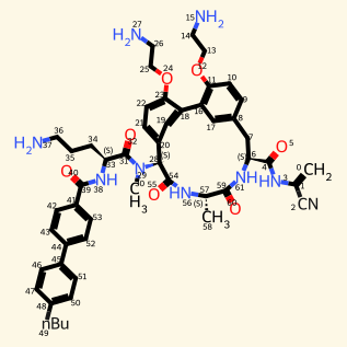 C=C(C#N)NC(=O)[C@@H]1Cc2ccc(OCCN)c(c2)-c2cc(ccc2OCCN)[C@H](N(C)C(=O)[C@H](CCCN)NC(=O)c2ccc(-c3ccc(CCCC)cc3)cc2)C(=O)N[C@@H](C)C(=O)N1